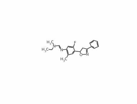 CCN(C)C=Nc1cc(F)c(C2CC(c3ccccc3)=NO2)cc1C